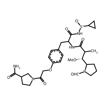 CO[C@H](C(C)C(=O)NC(Cc1ccc(OCC(=O)N2CCC(C(N)=O)C2)cc1)C(=O)N[S+]([O-])C1CC1)C1CCCN1C=O